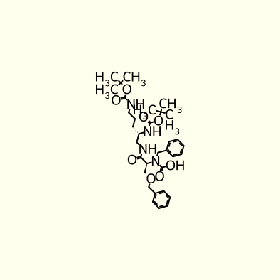 CC(C)(C)OC(=O)NCCC[C@@H](CNC(=O)[C@H](COCc1ccccc1)N(Cc1ccccc1)C(=O)O)NC(=O)OC(C)(C)C